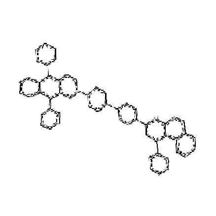 c1ccc(-c2c3ccccc3c(-c3ccccc3)c3cc(-c4ccc(-c5ccc(-c6cc(-c7ccccc7)c7c(ccc8ccccc87)n6)cc5)cc4)ccc23)cc1